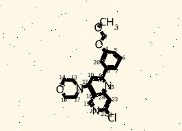 COCOc1cccc(-c2cc(N3CCOCC3)c3cnc(Cl)cc3n2)c1